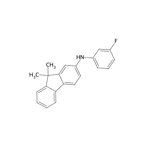 CC1(C)c2ccccc2-c2ccc(Nc3cccc(F)c3)cc21